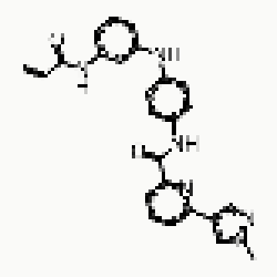 C=CC(=O)Nc1cccc(Nc2ccc(NC(=O)c3cccc(-c4cnn(C)c4)n3)cc2)c1